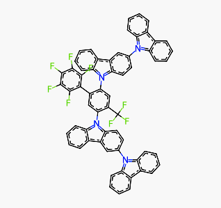 Fc1c(F)c(F)c(-c2cc(-n3c4ccccc4c4cc(-n5c6ccccc6c6ccccc65)ccc43)c(C(F)(F)F)cc2-n2c3ccccc3c3cc(-n4c5ccccc5c5ccccc54)ccc32)c(F)c1F